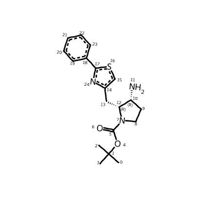 CC(C)(C)OC(=O)N1CC[C@@H](N)[C@H]1Cc1csc(-c2ccccc2)n1